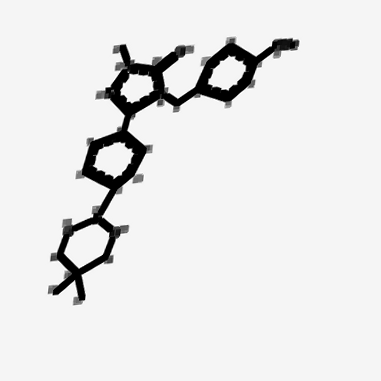 COc1ccc(Cn2c(-c3ccc(B4OCC(C)(C)CO4)cc3)nn(C)c2=O)cc1